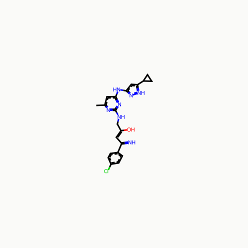 Cc1cc(Nc2cc(C3CC3)[nH]n2)nc(NC/C(O)=C/C(=N)c2ccc(Cl)cc2)n1